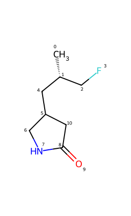 C[C@H](CF)CC1CNC(=O)C1